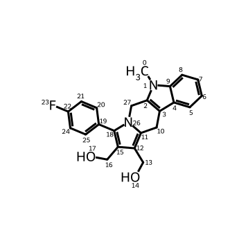 Cn1c2c(c3ccccc31)Cc1c(CO)c(CO)c(-c3ccc(F)cc3)n1C2